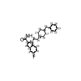 NC(=O)c1cc2cc(F)ccc2n1CCN1CCC(Cc2ccccc2)CC1